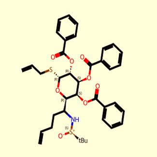 C=CCCC(N[S@+]([O-])C(C)(C)C)[C@H]1O[C@H](SCC=C)[C@H](OC(=O)c2ccccc2)[C@@H](OC(=O)c2ccccc2)[C@H]1OC(=O)c1ccccc1